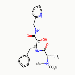 CC(C(=O)N[C@H](Cc1ccccc1)[C@H](O)C(=O)NCc1ccccn1)N(C(=O)O)C(C)(C)C